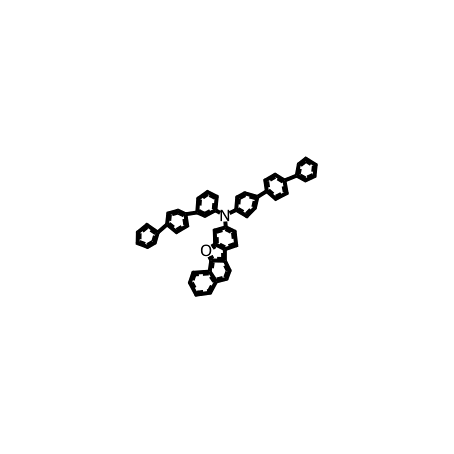 c1ccc(-c2ccc(-c3ccc(N(c4cccc(-c5ccc(-c6ccccc6)cc5)c4)c4ccc5c(c4)oc4c6ccccc6ccc54)cc3)cc2)cc1